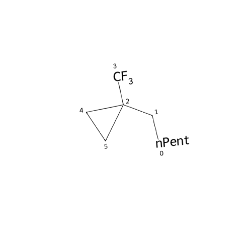 CCCCCCC1(C(F)(F)F)CC1